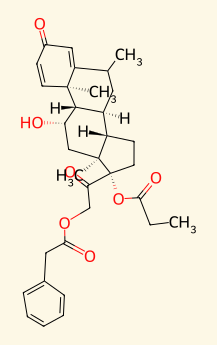 CCC(=O)O[C@@]1(C(=O)COC(=O)Cc2ccccc2)CC[C@H]2[C@@H]3CC(C)C4=CC(=O)C=C[C@]4(C)[C@H]3[C@@H](O)C[C@@]21C